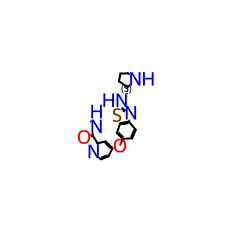 CNC(=O)c1cc(Oc2ccc3nc(NC[C@@H]4CCCN4)sc3c2)ccn1